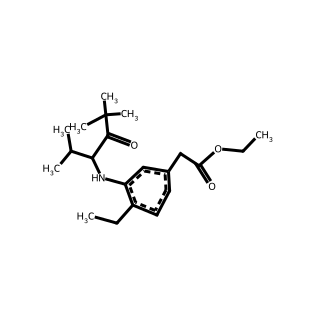 CCOC(=O)Cc1ccc(CC)c(NC(C(=O)C(C)(C)C)C(C)C)c1